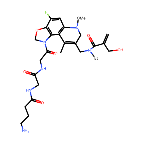 C=C(CO)C(=O)N(CC)CC1=C(C)c2c(cc(F)c3c2N(C(=O)CNC(=O)CNC(=O)CCCN)CO3)N(OC)C1